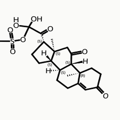 C[C@]12CC(=O)[C@H]3[C@@H](CCC4=CC(=O)CC[C@@]43C)[C@@H]1CC[C@@H]2C(=O)C(O)(O)OS(C)(=O)=O